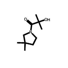 CC1(C)CCN(C(=O)C(C)(C)O)C1